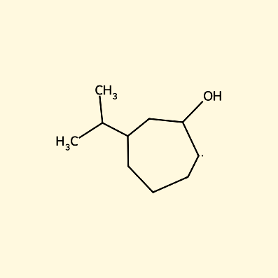 CC(C)C1CCC[CH]C(O)C1